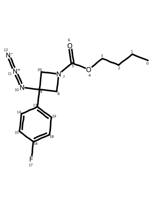 CCCCOC(=O)N1CC(N=[N+]=[N-])(c2ccc(F)cc2)C1